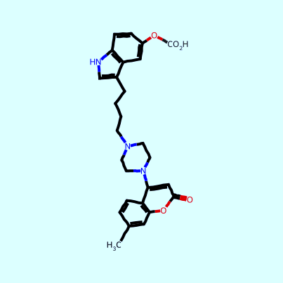 Cc1ccc2c(N3CCN(CCCCc4c[nH]c5ccc(OC(=O)O)cc45)CC3)cc(=O)oc2c1